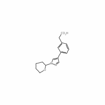 O=C(O)Cc1cccc(-c2cnn(C3CCCCO3)c2)c1